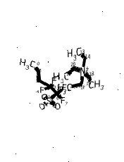 CCCC(F)(F)C(F)(F)S(=O)(=O)[O-].CC[N+](CC)(CC)CC